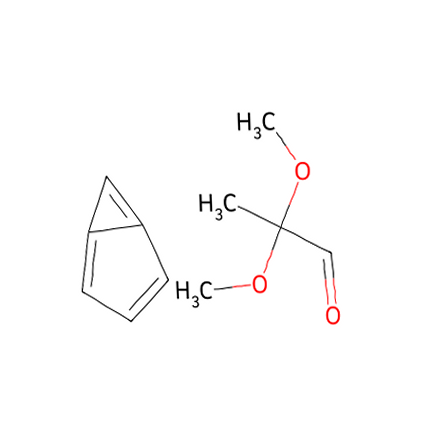 COC(C)(C=O)OC.c1cc2cc-2c1